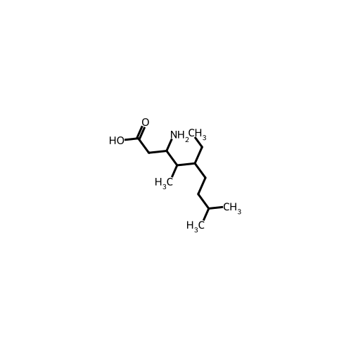 CCC(CCC(C)C)C(C)C(N)CC(=O)O